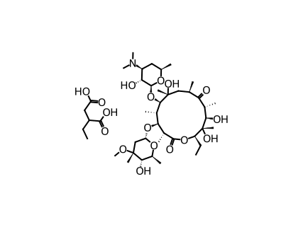 CCC(CC(=O)O)C(=O)O.CC[C@H]1OC(=O)[C@H](C)[C@@H](O[C@H]2C[C@@](C)(OC)[C@@H](O)[C@H](C)O2)[C@H](C)[C@@H](O[C@@H]2O[C@H](C)C[C@H](N(C)C)[C@H]2O)[C@](C)(O)C[C@@H](C)C(=O)[C@H](C)[C@@H](O)[C@]1(C)O